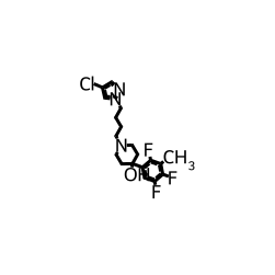 Cc1c(F)c(F)cc(C2(O)CCN(CCCCn3cc(Cl)cn3)CC2)c1F